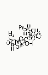 Cc1cn([C@H]2O[C@@H](COP(=O)(N[C@@H](C)C(=O)OC(C)C)Oc3ccccc3)[C@H](O)[C@H]2F)c(=O)[nH]c1=O